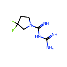 N=C(N)NC(=N)N1CCC(F)(F)C1